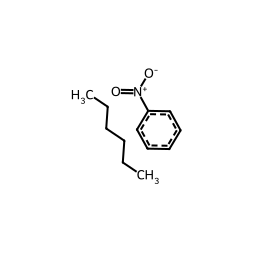 CCCCCC.O=[N+]([O-])c1ccccc1